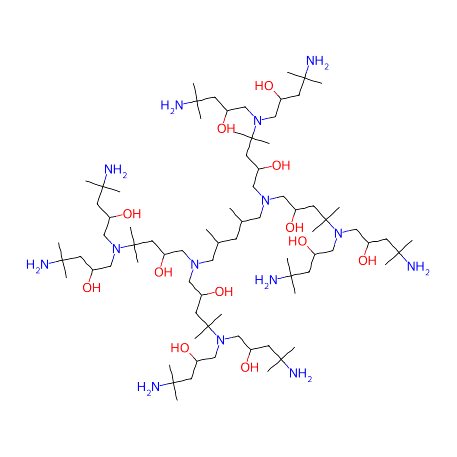 CC(CC(C)CN(CC(O)CC(C)(C)N(CC(O)CC(C)(C)N)CC(O)CC(C)(C)N)CC(O)CC(C)(C)N(CC(O)CC(C)(C)N)CC(O)CC(C)(C)N)CN(CC(O)CC(C)(C)N(CC(O)CC(C)(C)N)CC(O)CC(C)(C)N)CC(O)CC(C)(C)N(CC(O)CC(C)(C)N)CC(O)CC(C)(C)N